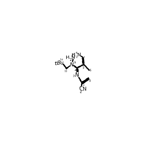 C=C(C#N)/N=C(\C(C)=C/N)N(N)CC(C)(C)C